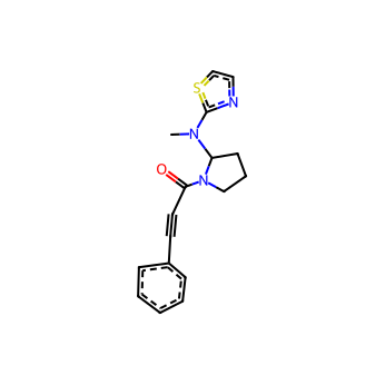 CN(c1nccs1)C1CCCN1C(=O)C#Cc1ccccc1